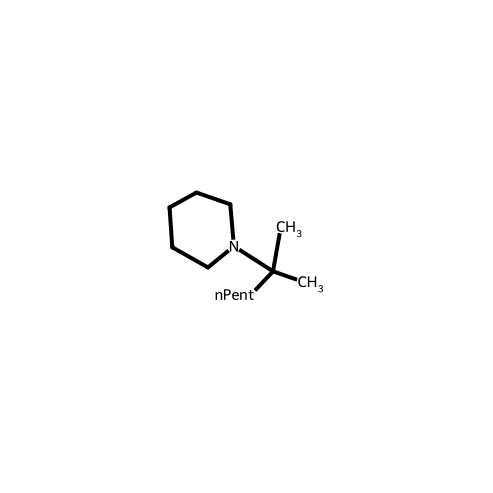 CCCCCC(C)(C)N1CCCCC1